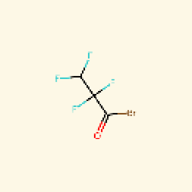 O=C(Br)C(F)(F)C(F)F